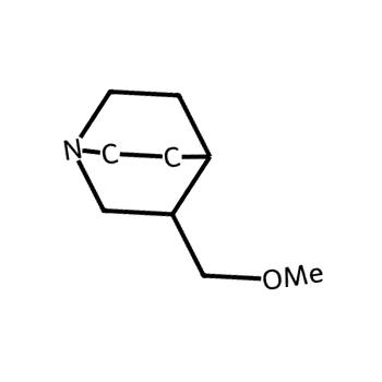 COCC1CN2CCC1CC2